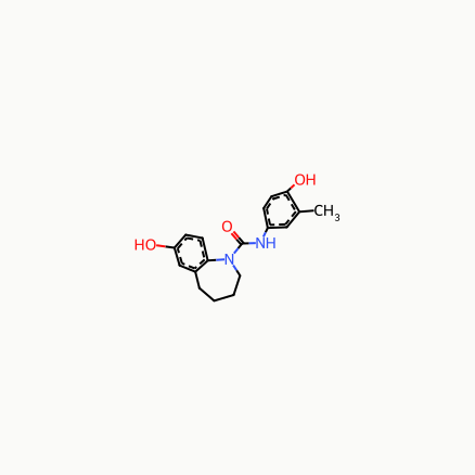 Cc1cc(NC(=O)N2CCCCc3cc(O)ccc32)ccc1O